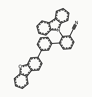 N#Cc1cccc(-c2cccc(-c3ccc4c(c3)oc3ccccc34)c2)c1-n1c2ccccc2c2ccccc21